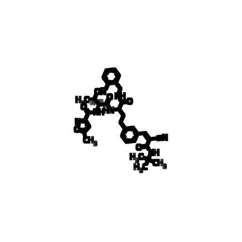 Cc1cc(C(=O)N[C@H](C(=O)NC(CCc2cccc(C=C(C#N)C(=O)NC(C)(C)C)c2)C(=O)NCc2ccccc2Cl)[C@@H](C)O)no1